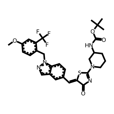 COc1ccc(Cn2ncc3cc(/C=C4\SC(N5CCCC(NC(=O)OC(C)(C)C)C5)=NC4=O)ccc32)c(C(F)(F)F)c1